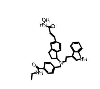 CCNC(=O)c1ccc(CN(CCc2c[nH]c3ccccc23)C2CCc3cc(/C=C/C(=O)NO)ccc32)cc1